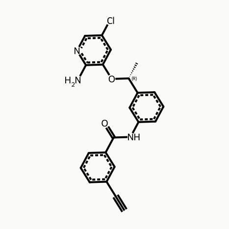 C#Cc1cccc(C(=O)Nc2cccc([C@@H](C)Oc3cc(Cl)cnc3N)c2)c1